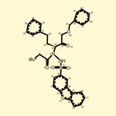 CCC(C)CC(=O)N(NS(=O)(=O)c1ccc2oc3ccccc3c2c1)[C@@H](CCc1ccccc1)C(=O)COCc1ccccc1